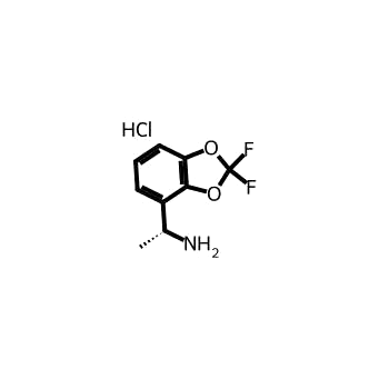 C[C@@H](N)c1cccc2c1OC(F)(F)O2.Cl